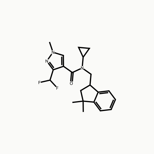 Cn1cc(C(=O)N(CC2CC(C)(C)c3ccccc32)C2CC2)c(C(F)F)n1